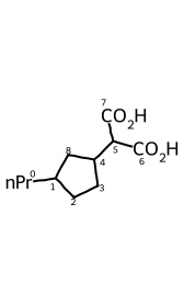 CCCC1CCC(C(C(=O)O)C(=O)O)C1